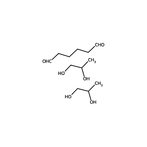 CC(O)CO.CC(O)CO.O=CCCCCC=O